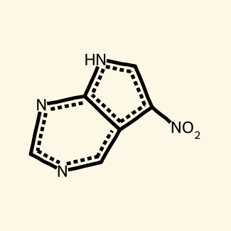 O=[N+]([O-])c1c[nH]c2ncncc12